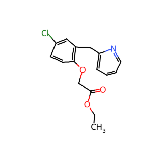 CCOC(=O)COc1ccc(Cl)cc1Cc1ccccn1